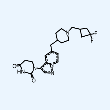 O=C1CCN(c2cnn3ccc(CC4CCN(CC5CC(F)(F)C5)CC4)cc23)C(=O)N1